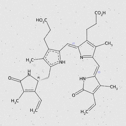 C=CC1=C(C)/C(=C/C2=NC(=C\c3[nH]c(C[C@H]4NC(=O)C(C)=C4C=C)c(C)c3CCC(=O)O)/C(CCC(=O)O)=C2C)NC1=O